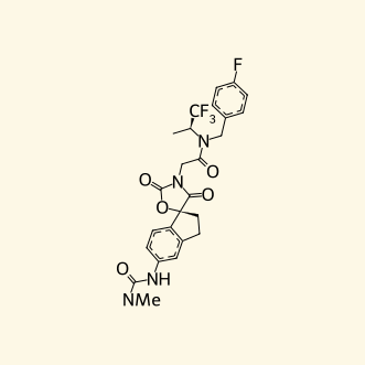 CNC(=O)Nc1ccc2c(c1)CC[C@]21OC(=O)N(CC(=O)N(Cc2ccc(F)cc2)[C@@H](C)C(F)(F)F)C1=O